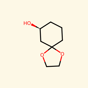 O[C@H]1CCCC2(C1)OCCO2